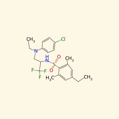 CCc1cc(C)c(S(=O)(=O)NC(CN(CC)c2ccc(Cl)cc2)C(F)(F)F)c(C)c1